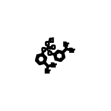 O=P(OCl)(Oc1cccc(C(Br)Br)c1)Oc1cccc(C(Br)Br)c1